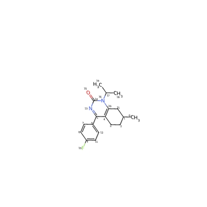 CC1CCc2c(-c3ccc(F)cc3)nc(=O)n(C(C)C)c2C1